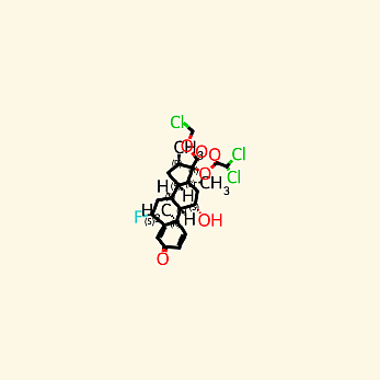 C[C@@H]1C[C@H]2[C@@H]3C[C@H](F)C4=CC(=O)C=C[C@]4(C)[C@H]3[C@@H](O)C[C@]2(C)[C@@]1(OC(=O)C(Cl)Cl)C(=O)OCCl